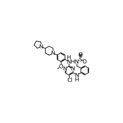 COc1cc(N2CCC(N3CCCC3)CC2)ccc1Nc1ncc(Cl)c(Nc2ccccc2CN[SH](=O)=O)n1